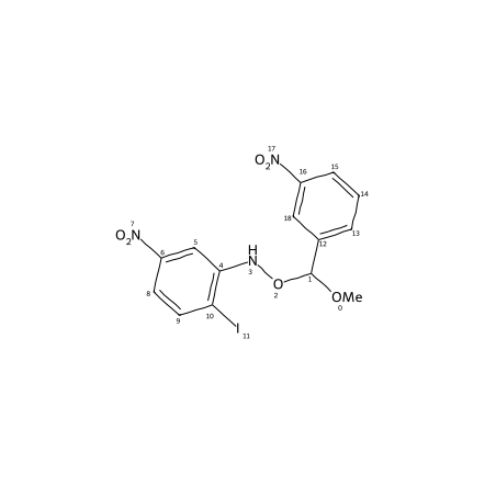 COC(ONc1cc([N+](=O)[O-])ccc1I)c1cccc([N+](=O)[O-])c1